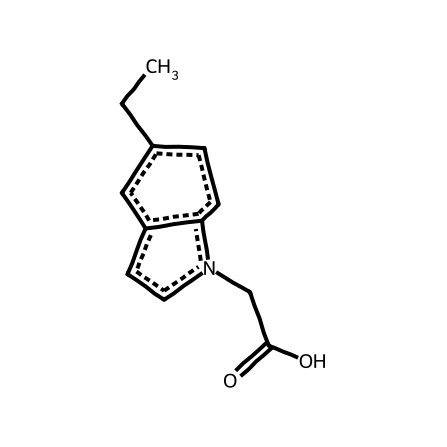 CCc1ccc2c(ccn2CC(=O)O)c1